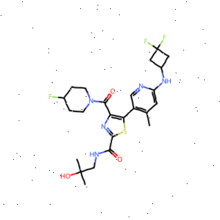 Cc1cc(NC2CC(F)(F)C2)ncc1-c1sc(C(=O)NCC(C)(C)O)nc1C(=O)N1CCC(F)CC1